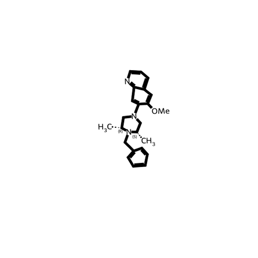 COc1cc2cccnc2cc1N1C[C@@H](C)N(Cc2ccccc2)[C@@H](C)C1